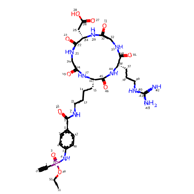 C#CP(=O)(Nc1ccc(C(=O)NCCCC[C@@H]2NC(=O)CNC(=O)[C@H](CC(=O)O)NC(=O)CNC(=O)[C@H](CCCNC(=N)N)NC2=O)cc1)OCC